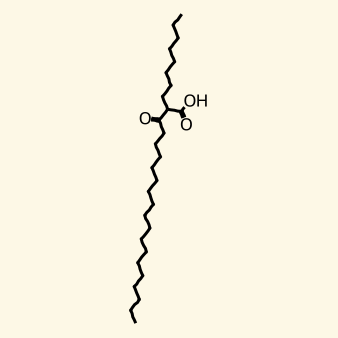 CCCCCCCCCCCCCCCCCC(=O)C(CCCCCCCC)C(=O)O